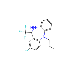 CCCN1c2ccccc2NC(C(F)(F)F)c2cc(F)ccc21